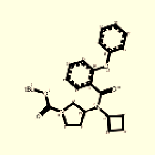 CC(C)(C)OC(=O)N1CC[C@H](N(C(=O)c2ccccc2Oc2ccccc2)C2CCC2)C1